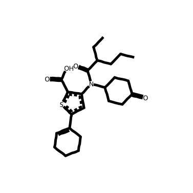 CCCC(CC)C(=O)N(c1cc(C2=CCCCC2)sc1C(=O)O)C1CCC(=O)CC1